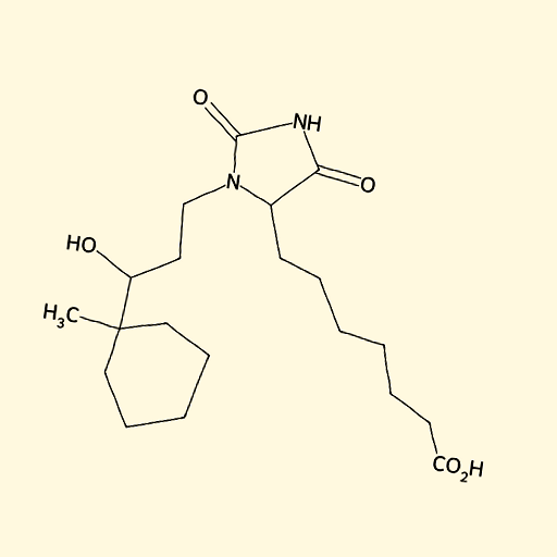 CC1(C(O)CCN2C(=O)NC(=O)C2CCCCCCC(=O)O)CCCCC1